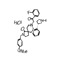 COc1ccc(CN2CCC3(CCN(C(C(=O)c4ccccc4F)[C@@H]4CNC[C@@H]4c4ccccc4)CC3)C2=O)cc1.Cl